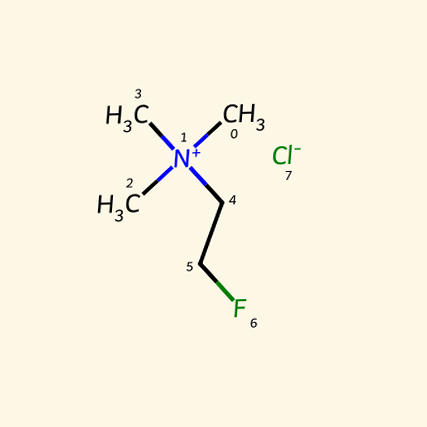 C[N+](C)(C)CCF.[Cl-]